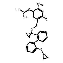 COc1cc(Cl)c(COC2(c3cnccc3-c3ccccc3OC3CC3)CC2)cc1SN(C)C